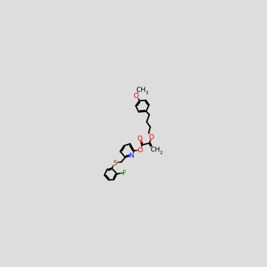 C=C(OCCCCc1ccc(OC)cc1)C(=O)Oc1cccc(CSc2ccccc2F)n1